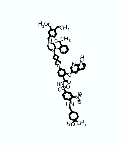 CCc1ccc(CN2CCN(C3CC4(C3)CN(c3ccc(C(=O)NS(=O)(=O)c5ccc(NCC6CCC(C)(O)CC6)c([N+](=O)[O-])c5)c(Oc5cnc6[nH]ccc6c5)c3)C4)[C@H](c3ccccc3C(C)C)C2)cc1OC